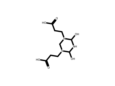 O=C(O)CCN1CN(CCC(=O)O)C(O)NC1O